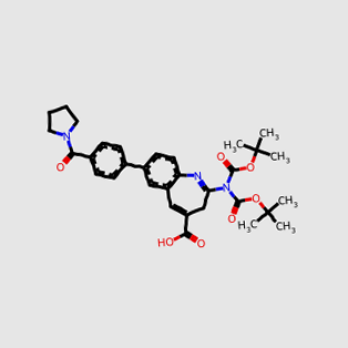 CC(C)(C)OC(=O)N(C(=O)OC(C)(C)C)C1=Nc2ccc(-c3ccc(C(=O)N4CCCC4)cc3)cc2C=C(C(=O)O)C1